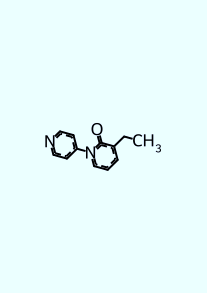 CCc1cccn(-c2ccncc2)c1=O